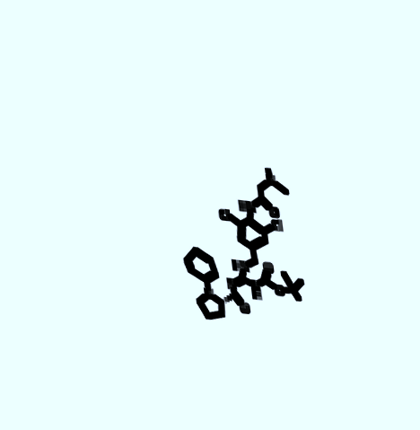 CN(C)CC(=O)Nc1c(Cl)cc(CN/C(=N/C(=O)[C@@H]2CCCN2c2ccccc2)NC(=O)OC(C)(C)C)cc1Cl